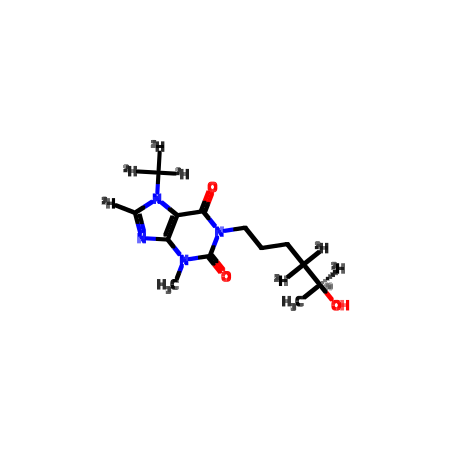 [2H]c1nc2c(c(=O)n(CCCC([2H])([2H])[C@]([2H])(C)O)c(=O)n2C)n1C([2H])([2H])[2H]